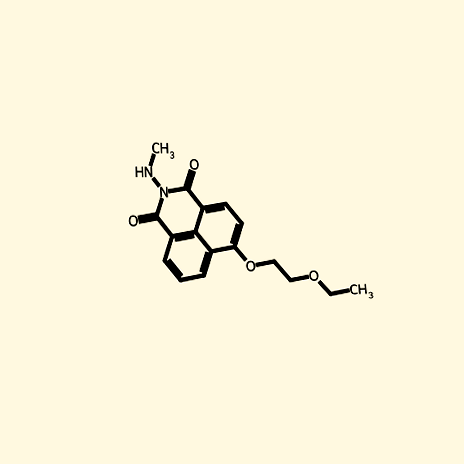 CCOCCOc1ccc2c3c(cccc13)C(=O)N(NC)C2=O